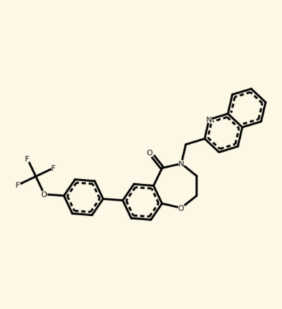 O=C1c2cc(-c3ccc(OC(F)(F)F)cc3)ccc2OCCN1Cc1ccc2ccccc2n1